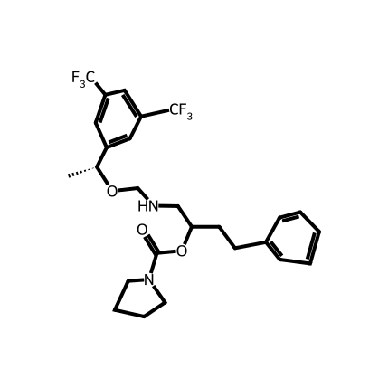 C[C@@H](OCNCC(CCc1ccccc1)OC(=O)N1CCCC1)c1cc(C(F)(F)F)cc(C(F)(F)F)c1